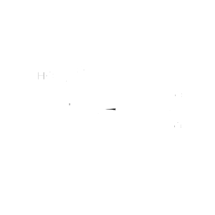 COC(=O)c1ccc([C@H]2CC[C@@](CC3CCCCC3)(C(=O)O)C2)cc1